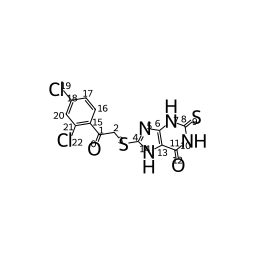 O=C(CSc1nc2[nH]c(=S)[nH]c(=O)c2[nH]1)c1ccc(Cl)cc1Cl